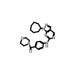 O=C(c1ccc(Nc2ncc3cnn(C4CCCCCC4)c3n2)cc1)N1CCOCC1